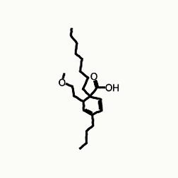 CCCCCCCCC1(C(=O)O)C=CC(CCCC)=CC1CCOC